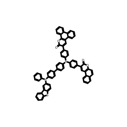 O=c1oc2ccc3ccccc3c2cc1-c1ccc(N(c2ccc(-c3ccc(N(c4ccccc4)c4ccc5sc6ccccc6c5c4)cc3)cc2)c2ccc(-c3cc4c5ccccc5c5ccccc5c4oc3=O)cc2)cc1